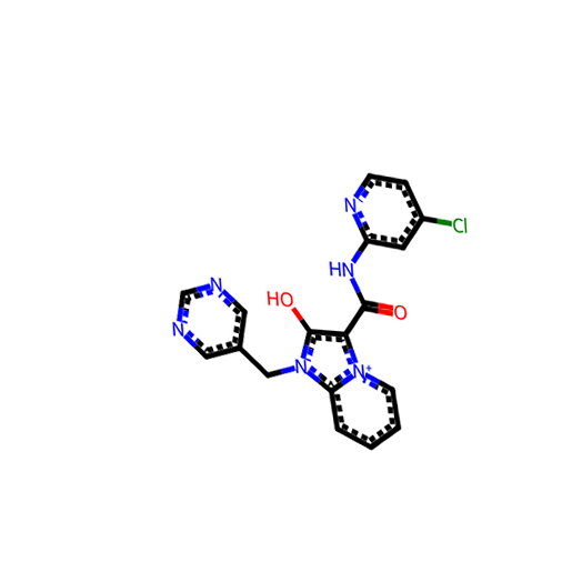 O=C(Nc1cc(Cl)ccn1)c1c(O)n(Cc2cncnc2)c2cccc[n+]12